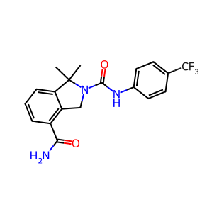 CC1(C)c2cccc(C(N)=O)c2CN1C(=O)Nc1ccc(C(F)(F)F)cc1